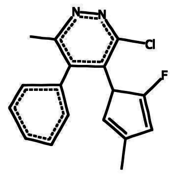 CC1=CC(c2c(Cl)nnc(C)c2-c2ccccc2)C(F)=C1